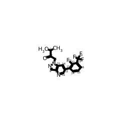 CC(C)C(=O)Cn1ncc2ncc(-c3cccc(C(F)(F)F)c3F)cc21